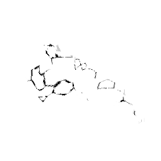 CC(C)(C)OC(=O)N[C@H]1CC[C@H](CCN2CC3(C2)CN(c2ncncc2Oc2ccc(F)cc2-c2ccc(C#N)cc2C2CC2)C3)CC1